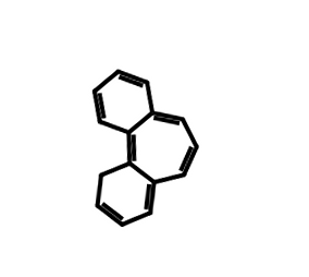 C1=CCC2=c3ccccc3=CC=CC2=C1